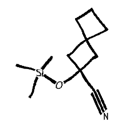 C[Si](C)(C)OC1(C#N)CC2(CCC2)C1